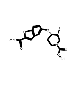 COC(=O)c1cc2cc(O[C@H]3CCN(C(=O)OC(C)(C)C)C[C@@H]3F)ccc2o1